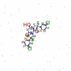 O=C1CC(O)N(CC(F)(F)c2cccc(Cl)c2)C(=O)N1CC(F)(F)c1cccc(Cl)c1